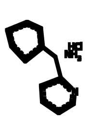 Cl.N.c1ccc(Cc2ccccn2)cc1